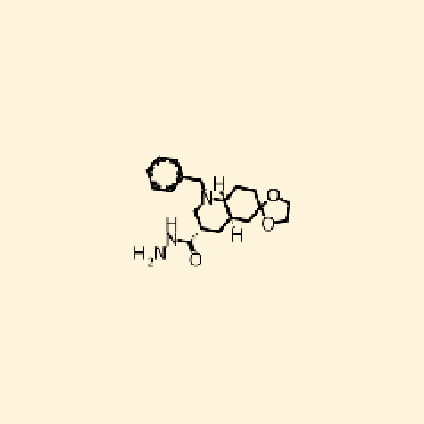 NNC(=O)[C@H]1C[C@@H]2CC3(CC[C@H]2N(Cc2ccccc2)C1)OCCO3